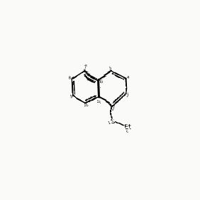 CCSc1cccc2ccccc12